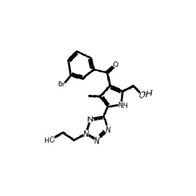 Cc1c(-c2nnn(CCO)n2)[nH]c(CO)c1C(=O)c1cccc(Br)c1